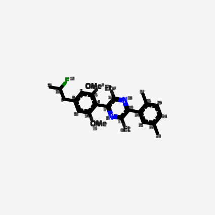 CCc1nc(-c2c(OC)cc(CC(C)F)cc2OC)c(CC)nc1-c1cc(C)ccc1C